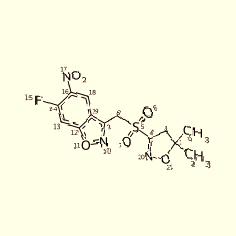 CC1(C)CC(S(=O)(=O)Cc2noc3cc(F)c([N+](=O)[O-])cc23)=NO1